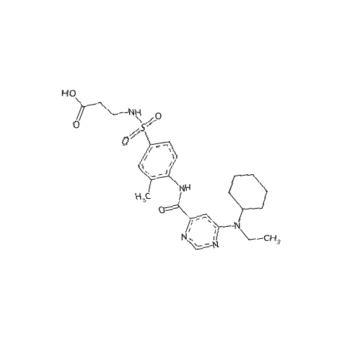 CCN(c1cc(C(=O)Nc2ccc(S(=O)(=O)NCCC(=O)O)cc2C)ncn1)C1CCCCC1